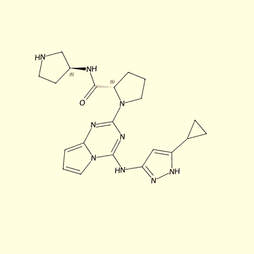 O=C(N[C@H]1CCNC1)[C@@H]1CCCN1c1nc(Nc2cc(C3CC3)[nH]n2)n2cccc2n1